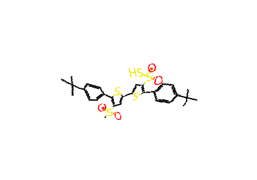 CC(C)(C)c1ccc(-c2sc(-c3cc(S(=O)(=O)S)c(-c4ccc(C(C)(C)C)cc4)s3)cc2S(C)(=O)=O)cc1